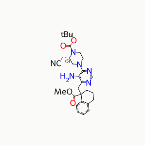 COC(=O)C1(Cc2ncnc(N3CCN(C(=O)OC(C)(C)C)[C@@H](CC#N)C3)c2N)CCCc2ccccc21